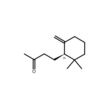 C=C1CCCC(C)(C)[C@H]1CCC(C)=O